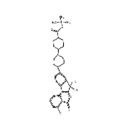 CC(C)(C)OC(=O)C1CCC(N2CCC(c3ccc4c(c3)C(C)(C)c3nc(=O)c5c(Cl)cccc5n3-4)CC2)CC1